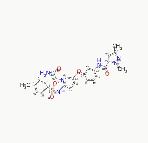 Cc1ccc(S(=O)(=O)/N=c2/ccc(Oc3cccc(NC(=O)c4cc(C)nn4C)c3)cn2CC(N)=O)cc1